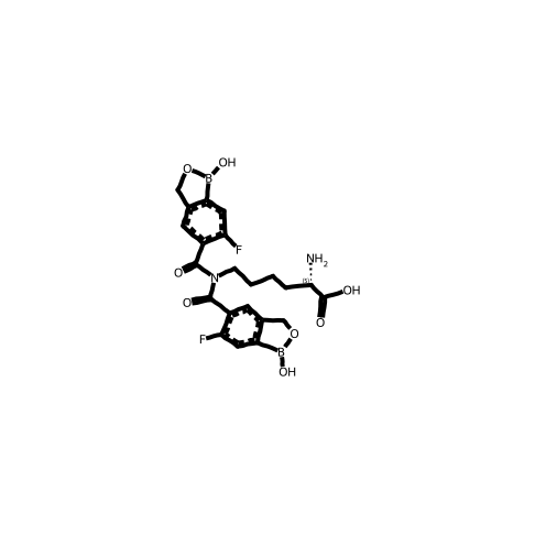 N[C@@H](CCCCN(C(=O)c1cc2c(cc1F)B(O)OC2)C(=O)c1cc2c(cc1F)B(O)OC2)C(=O)O